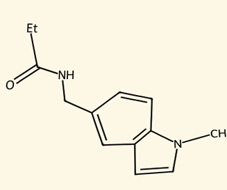 CCC(=O)NCc1ccc2c(ccn2C)c1